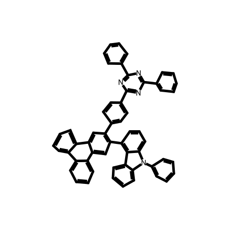 c1ccc(-c2nc(-c3ccccc3)nc(-c3ccc(-c4cc5c6ccccc6c6ccccc6c5cc4-c4cccc5c4c4ccccc4n5-c4ccccc4)cc3)n2)cc1